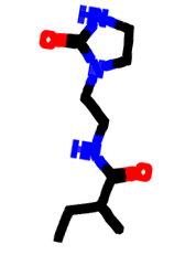 CCC(C)C(=O)NCCN1CCNC1=O